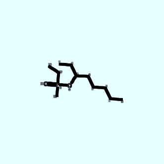 CCCCCC(CC)OP(C)(=O)CC